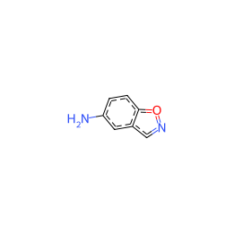 Nc1ccc2oncc2c1